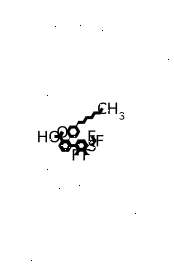 CCCCCCC[C@H]1CC[C@H](c2c(C(=O)O)cccc2-c2ccc(SC(F)F)c(F)c2F)CC1